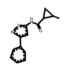 CC1CC1C(=O)Nc1cc(-c2ccccc2)ns1